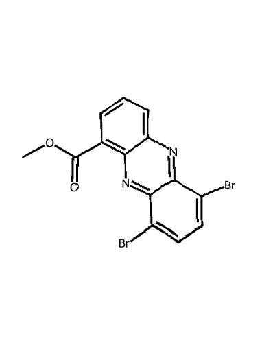 COC(=O)c1cccc2nc3c(Br)ccc(Br)c3nc12